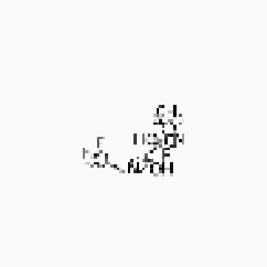 COc1ccc2ncc(F)c([C@@H](O)CCC3(CO)CCN(CC#Cc4cc(F)c(F)c(F)c4)CC3)c2c1